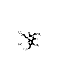 CCn1c(=O)c2c(C)c(CN)sc2n(CCOC)c1=O.Cl